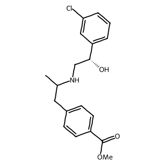 COC(=O)c1ccc(CC(C)NC[C@@H](O)c2cccc(Cl)c2)cc1